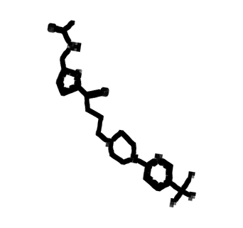 CC(=O)NCc1ccc(C(=O)CCCN2CCN(c3ccc(C(F)(F)F)cn3)CC2)s1